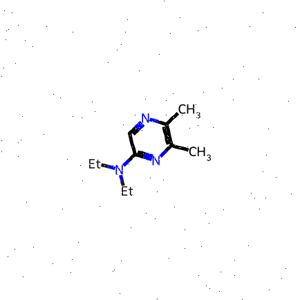 CCN(CC)c1cnc(C)c(C)n1